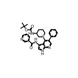 CC(C)(C)OC(=O)NC1CCCN(c2c(-c3ccccc3)cnc3[nH]cc(NC(=O)c4cccnc4)c23)C1